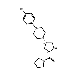 O=C([C@@H]1C[C@H](N2CCN(c3ccc(O)cc3)CC2)CN1)N1CCSC1